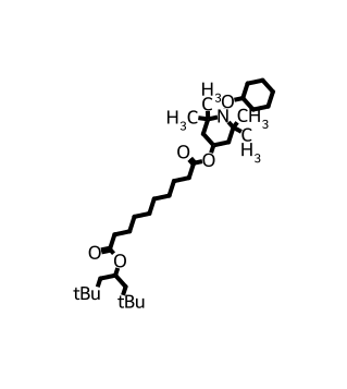 CC(C)(C)CC(CC(C)(C)C)OC(=O)CCCCCCCCC(=O)OC1CC(C)(C)N(OC2CCCCC2)C(C)(C)C1